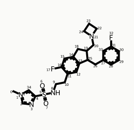 Cn1cnc(S(=O)(=O)NCCc2cc3c(cc2F)CC(CN2CCC2)C3Cc2cccc(F)c2)c1